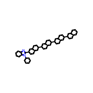 c1ccc(-n2c(-c3ccc4cc(-c5ccc6cc(-c7ccc8cc(-c9ccc%10ccccc%10c9)ccc8c7)ccc6c5)ccc4c3)nc3ccccc32)cc1